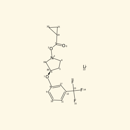 O=C(ON1CC[C@@H](Oc2cccc(C(F)(F)F)c2)C1)C1CC1.[Li]